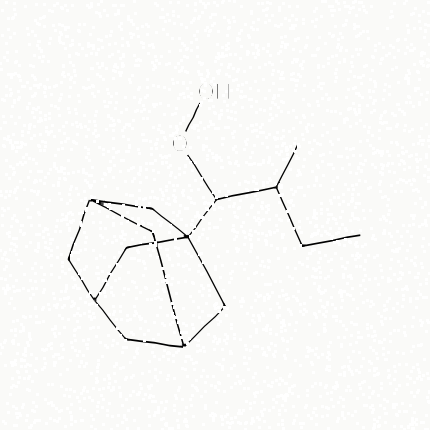 CCC(C)C(OO)C12CC3CC(CC(C3)C1)C2